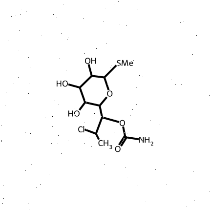 CSC1OC(C(OC(N)=O)C(C)Cl)C(O)C(O)C1O